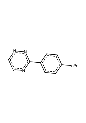 CCCc1ccc(-c2nncnn2)cc1